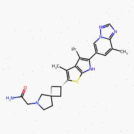 Cc1cc(-c2[nH]c3sc([C@H]4C[C@@]5(CCN(CC(N)=O)C5)C4)c(C)c3c2C(C)C)cn2ncnc12